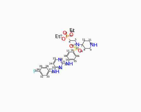 CCOP(=O)(CCN(C1CCNCC1)S(=O)(=O)c1ccc(Nc2nccc(Nc3ccc(F)cc3)n2)cc1)OCC